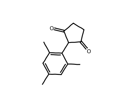 Cc1cc(C)c(C2C(=O)CCC2=O)c(C)c1